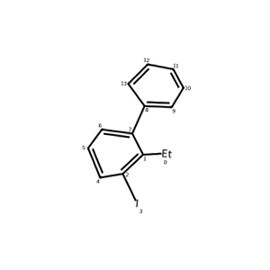 CCc1c(I)cccc1-c1ccccc1